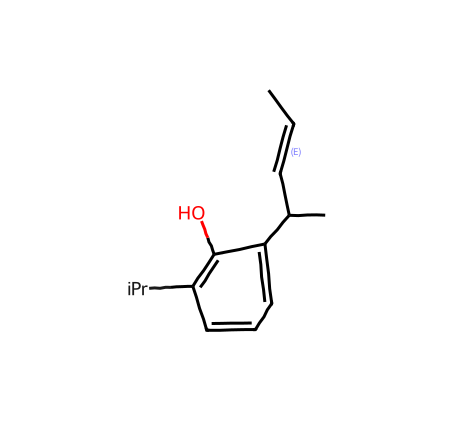 C/C=C/C(C)c1cccc(C(C)C)c1O